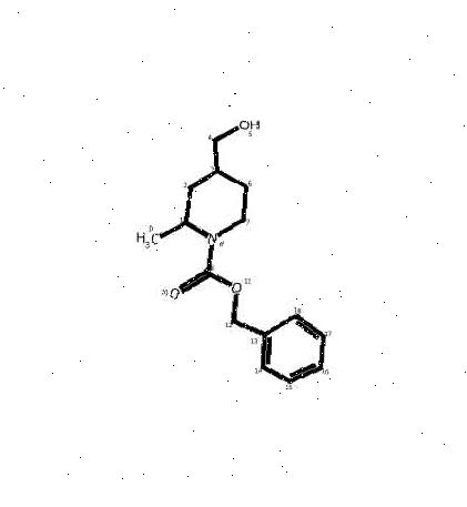 CC1CC(CO)CCN1C(=O)OCc1ccccc1